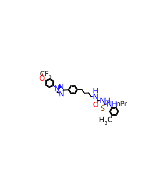 CCCc1ccc(C)cc1NC(=S)NC(=O)NCCCCc1ccc(-c2ncn(-c3ccc(OC(F)(F)F)cc3)n2)cc1